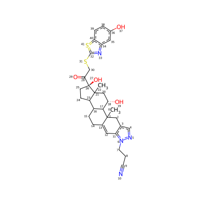 CC12Cc3cnn(CCC#N)c3C=C1CCC1C2[C@@H](O)CC2(C)C1CC[C@]2(O)C(=O)CSc1nc2cc(O)ccc2s1